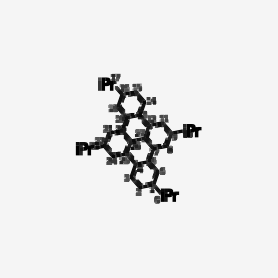 CC(C)c1ccc2c(c1)c1cc(C(C)C)cc3c4ccc(C(C)C)cc4c4cc(C(C)C)cc2c4c31